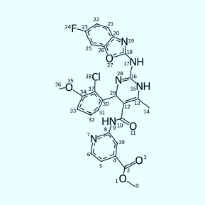 COC(=O)c1ccnc(NC(=O)C2=C(C)NC(Nc3nc4ccc(F)cc4o3)=NC2c2cccc(OC)c2Cl)c1